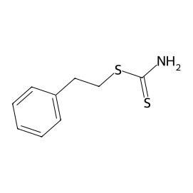 NC(=S)SCCc1ccccc1